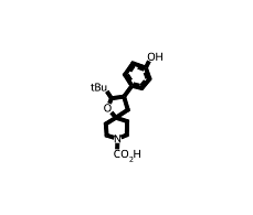 CC(C)(C)C1OC2(CCN(C(=O)O)CC2)CC1c1ccc(O)cc1